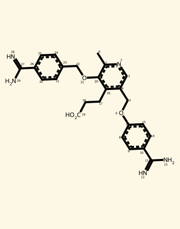 Cc1ncc(COc2ccc(C(=N)N)cc2)c(CCC(=O)O)c1OCc1ccc(C(=N)N)cc1